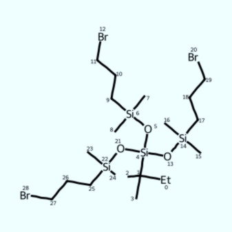 [CH2]CC(C)(C)[Si](O[Si](C)(C)CCCBr)(O[Si](C)(C)CCCBr)O[Si](C)(C)CCCBr